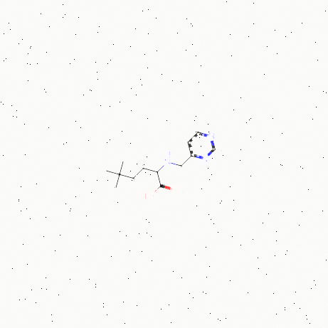 CC(C)(C)CCC(NCc1ccncn1)C(=O)O